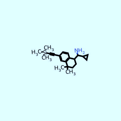 CC1(C)CCC(C(N)C2CC2)c2ccc(C#C[Si](C)(C)C)cc21